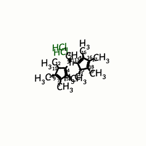 Cl.Cl.[CH2]=[Ti]([C]1=C(C)C(C)=C(C)C1C)[C]1=C(C)C(C)=C(C)C1C